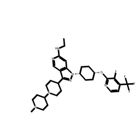 CCNc1cc2c(cn1)c(C1CCN(C3CCN(C)CC3)CC1)nn2[C@H]1CC[C@@H](Oc2nccc(C(F)(F)F)c2F)CC1